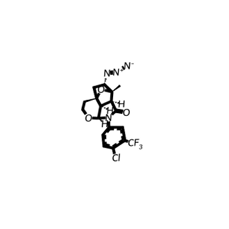 C[C@]12O[C@@]3(CCO[C@H]4[C@@H]3[C@@H]1C(=O)N4c1ccc(Cl)c(C(F)(F)F)c1)C[C@@H]2N=[N+]=[N-]